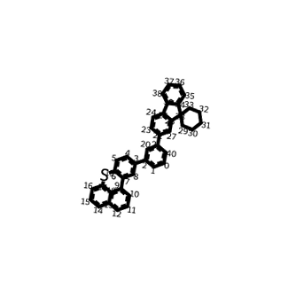 c1cc(-c2ccc3c(c2)-c2cccc4cccc(c24)S3)cc(-c2ccc3c(c2)C2(CCCCC2)c2ccccc2-3)c1